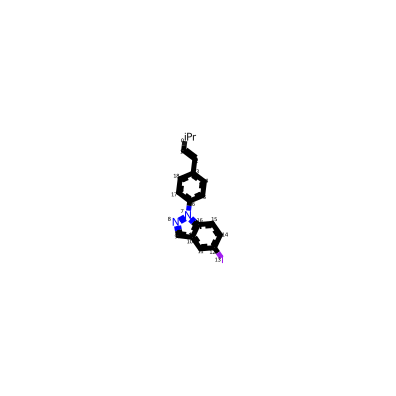 CC(C)/C=C/c1ccc(-n2ncc3cc(I)ccc32)cc1